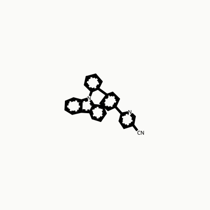 N#Cc1ccc(-c2ccc(-c3ccccc3-n3c4ccccc4c4ccccc43)cc2)nc1